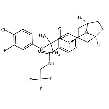 CC(C)(Oc1ccc(Cl)c(F)c1)C(=O)N[C@H]1C[C@H]2CC[C@@H](C1)N2c1ccc(C(=O)NCC(F)(F)F)cc1